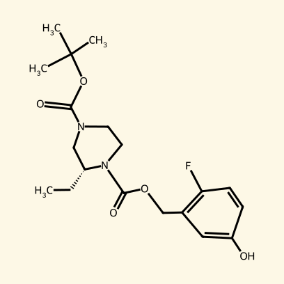 CC[C@@H]1CN(C(=O)OC(C)(C)C)CCN1C(=O)OCc1cc(O)ccc1F